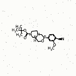 COc1cc([C@@H]2CN3CCN(C(=O)OC(C)(C)C)C[C@@H]3CO2)ccc1C#N